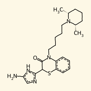 C[C@@H]1CCC[C@H](C)N1CCCCCN1C(=O)C(c2ncc(N)[nH]2)Sc2ccccc21